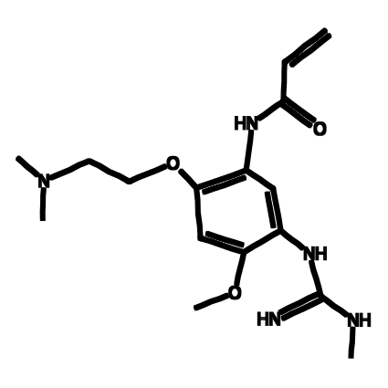 C=CC(=O)Nc1cc(NC(=N)NC)c(OC)cc1OCCN(C)C